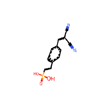 N#CC(C#N)=Cc1ccc(/C=C/P(=O)(O)O)cc1